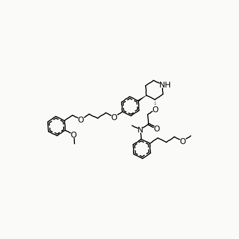 COCCCc1ccccc1N(C)C(=O)CO[C@H]1CNCC[C@@H]1c1ccc(OCCCOCc2ccccc2OC)cc1